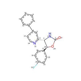 O=C1N[C@@H](c2cc(-c3ccccc3)ccn2)[C@H](c2ccc(F)cc2)O1